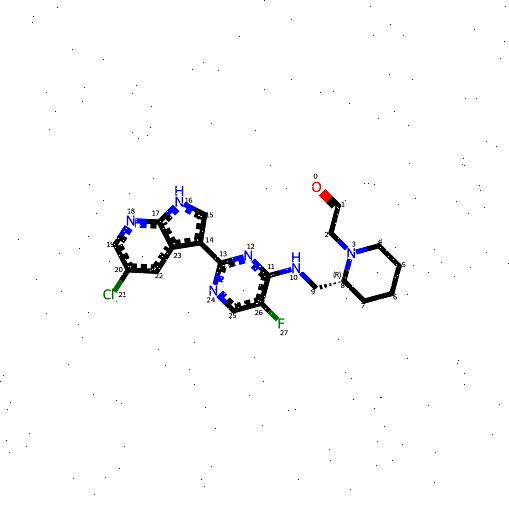 O=CCN1CCCC[C@@H]1CNc1nc(-c2c[nH]c3ncc(Cl)cc23)ncc1F